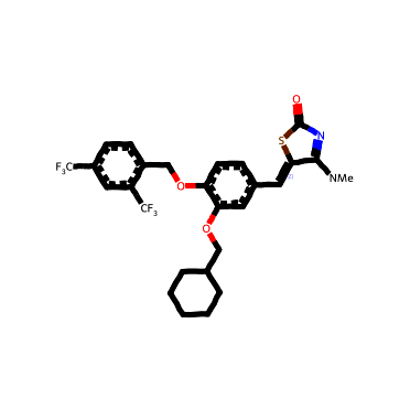 CNC1=NC(=O)S/C1=C\c1ccc(OCc2ccc(C(F)(F)F)cc2C(F)(F)F)c(OCC2CCCCC2)c1